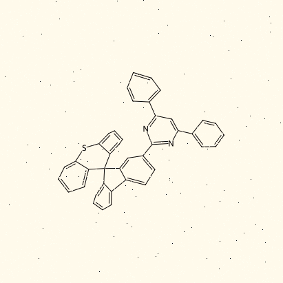 c1ccc(-c2cc(-c3ccccc3)nc(-c3ccc4c(c3)C3(c5ccccc5Sc5ccccc53)c3ccccc3-4)n2)cc1